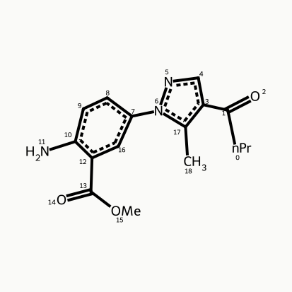 CCCC(=O)c1cnn(-c2ccc(N)c(C(=O)OC)c2)c1C